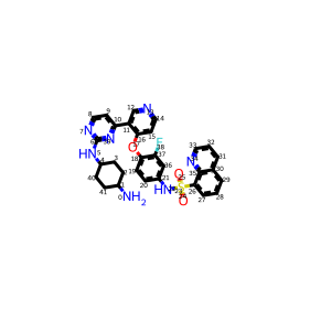 NC1CCC(Nc2nccc(-c3cnccc3Oc3ccc(NS(=O)(=O)c4cccc5cccnc45)cc3F)n2)CC1